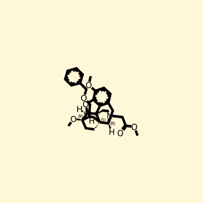 COC(=O)CN1CC[C@]23c4c5ccc(OC)c4O[C@H]2[C@@]2(OC)CC[C@@]3(C[C@@H]2COCc2ccccc2)[C@H]1C5